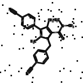 Cc1c(-c2ccc(C#N)cc2)c(C)n(Cc2ccc(C#N)cc2)c1C(=O)N(C)C